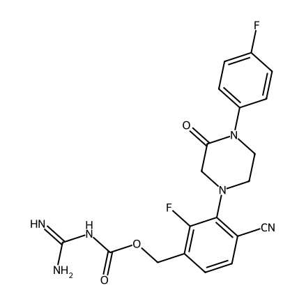 N#Cc1ccc(COC(=O)NC(=N)N)c(F)c1N1CCN(c2ccc(F)cc2)C(=O)C1